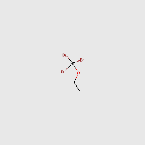 CC[O][Hf]([Br])([Br])[Br]